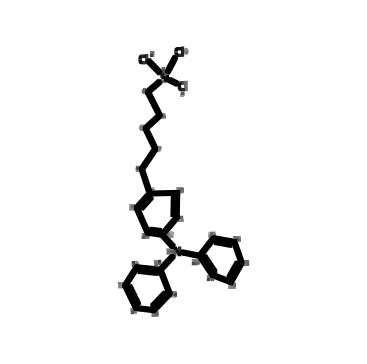 Cl[Si](Cl)(Cl)CCCCCc1ccc(N(c2ccccc2)c2ccccc2)cc1